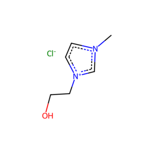 Cn1cc[n+](CCO)c1.[Cl-]